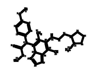 CCOc1ccc(N(C(=O)OC(C)(C)C)c2c(C)c(NCCC3CCCN3C)c(C#N)c3ccnn23)cc1